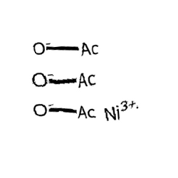 CC(=O)[O-].CC(=O)[O-].CC(=O)[O-].[Ni+3]